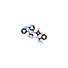 C=CC(=O)Nc1ccccc1Nc1cc(Nc2c(NC(C)c3ccccc3)c(=O)c2=O)ccn1